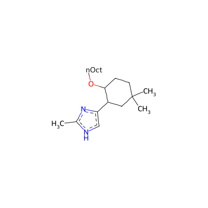 CCCCCCCCOC1CCC(C)(C)CC1c1c[nH]c(C)n1